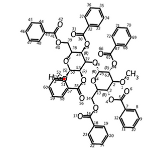 COC1[C@H](OC(=O)c2ccccc2)C(COC(=O)c2ccccc2)O[C@H](OC2[C@H](OC(=O)c3ccccc3)C(COC(=O)c3ccccc3)O[C@H](OC)[C@@H]2OC(=O)c2ccccc2)[C@@H]1OC(=O)c1ccccc1